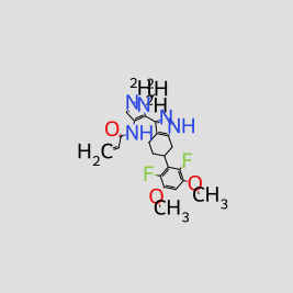 [2H]C([2H])([2H])n1ncc(NC(=O)C=C)c1-c1n[nH]c2c1CCC(c1c(F)c(OC)cc(OC)c1F)C2